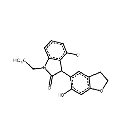 O=C(O)CN1C(=O)C(c2cc3c(cc2O)OCC3)c2c(Cl)cccc21